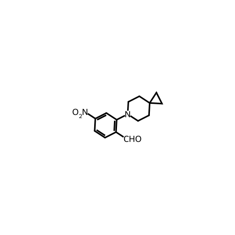 O=Cc1ccc([N+](=O)[O-])cc1N1CCC2(CC1)CC2